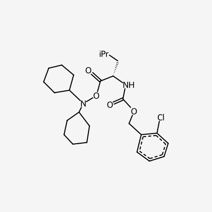 CC(C)C[C@H](NC(=O)OCc1ccccc1Cl)C(=O)ON(C1CCCCC1)C1CCCCC1